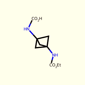 CCOC(=O)NC12CC(NC(=O)O)(C1)C2